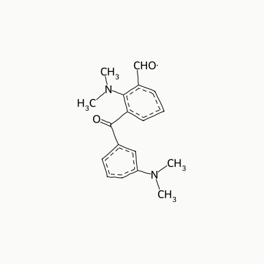 CN(C)c1cccc(C(=O)c2cccc([C]=O)c2N(C)C)c1